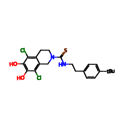 CC(C)(C)c1ccc(CCNC(=S)N2CCc3c(Cl)c(O)c(O)c(Cl)c3C2)cc1